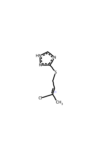 C/C(Cl)=C/CSc1nc[nH]n1